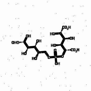 O=C[C@H](O)[C@@H](O)[C@H](O)[C@H](O)COP(=O)(O)O[C@@H](C(=O)O)[C@@H](O)[C@H](O)[C@H](O)C(=O)O